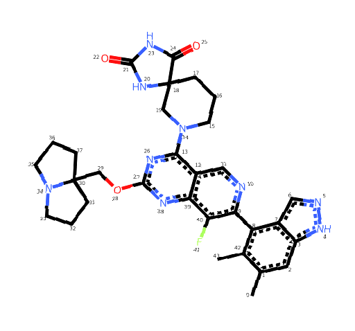 Cc1cc2[nH]ncc2c(-c2ncc3c(N4CCCC5(C4)NC(=O)NC5=O)nc(OCC45CCCN4CCC5)nc3c2F)c1C